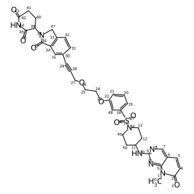 Cn1c(=O)ccc2cnc(NC3CCN(S(=O)(=O)c4cccc(OCCOCC#Cc5ccc6c(c5)C(=O)N(C5CCC(=O)NC5=O)C6)c4)CC3)nc21